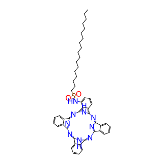 CCCCCCCCCCCCCCCCCCS(=O)(=O)Nc1cccc2c3nc4nc(nc5[nH]c(nc6nc(nc([nH]3)c12)-c1ccccc1-6)c1ccccc51)-c1ccccc1-4